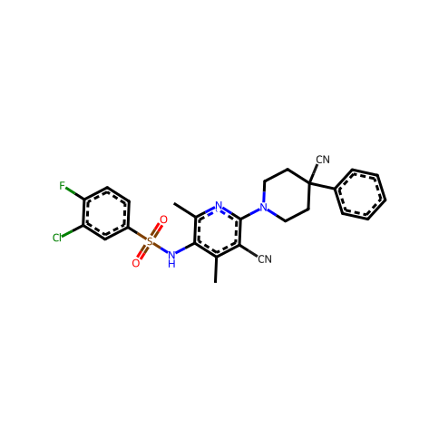 Cc1nc(N2CCC(C#N)(c3ccccc3)CC2)c(C#N)c(C)c1NS(=O)(=O)c1ccc(F)c(Cl)c1